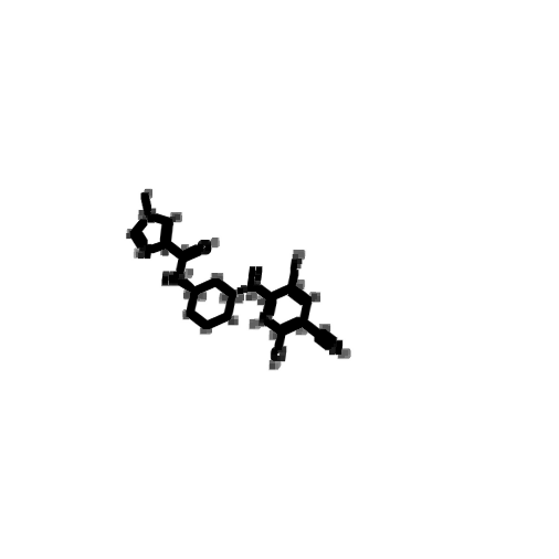 Cn1cnc(C(=O)N[C@@H]2CCC[C@@H](Nc3nc(Cl)c(C#N)cc3F)C2)c1